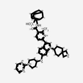 O=C(NC1(C(=O)O)C2CCC3CC(C2)CC1C3)c1ccc(-c2cn(C3CCC4(CC3)COC4)c3cc(OC4CCN(c5ncccn5)CC4)ccc23)nc1C(F)(F)F